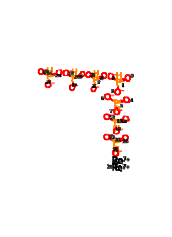 O=[PH]([O-])[O-].O=[PH]([O-])[O-].O=[PH]([O-])[O-].O=[PH]([O-])[O-].O=[PH]([O-])[O-].O=[PH]([O-])[O-].O=[PH]([O-])[O-].[Re+7].[Re+7]